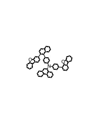 c1ccc2c(-c3ccc(N(c4ccc(-c5cccc6c5oc5ccccc56)cc4)c4cc5ccccc5c5ccccc45)cc3)c(-c3ccc4c(c3)oc3ccccc34)ccc2c1